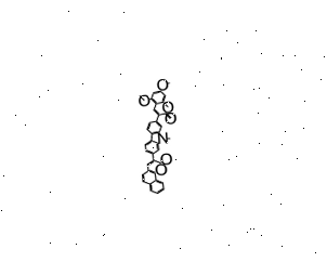 COc1cc(OC)c2cc(-c3ccc4c5ccc(-c6cc7ccc8ccccc8c7oc6=O)cc5n(C)c4c3)c(=O)oc2c1